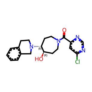 O=C(c1cc(Cl)ncn1)N1CC[C@@H](O)[C@H](N2CCc3ccccc3C2)CC1